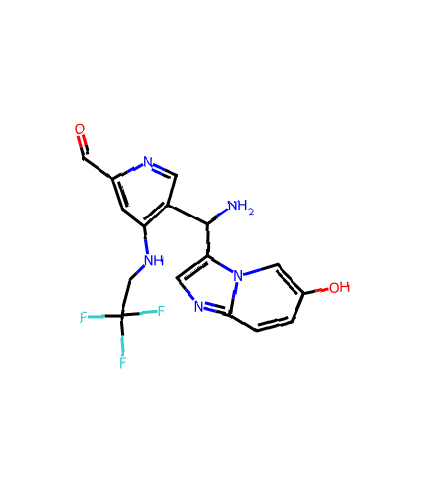 NC(c1cnc(C=O)cc1NCC(F)(F)F)c1cnc2ccc(O)cn12